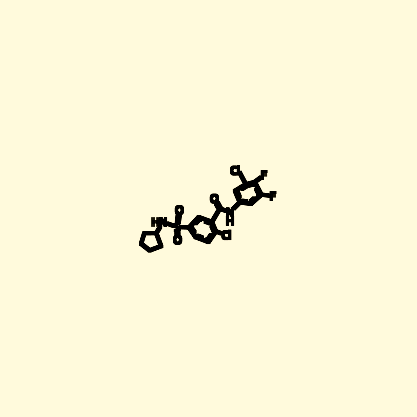 O=C(Nc1cc(F)c(F)c(Cl)c1)c1cc(S(=O)(=O)NC2CCCC2)ccc1Cl